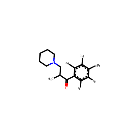 [2H]c1c([2H])c(C(=O)C(C)CN2CCCCC2)c([2H])c([2H])c1CCC